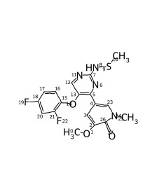 COc1cc(-c2nc(NSC)ncc2Oc2ccc(F)cc2F)cn(C)c1=O